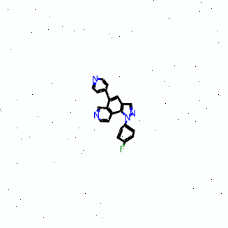 Fc1ccc(-n2ncc3cc(-c4ccncc4)c4cnccc4c32)cc1